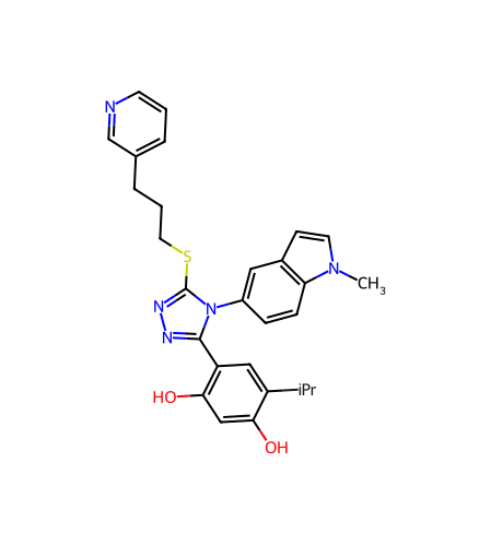 CC(C)c1cc(-c2nnc(SCCCc3cccnc3)n2-c2ccc3c(ccn3C)c2)c(O)cc1O